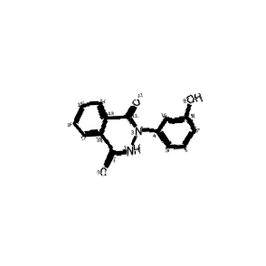 O=c1[nH]n(-c2cccc(O)c2)c(=O)c2ccccc12